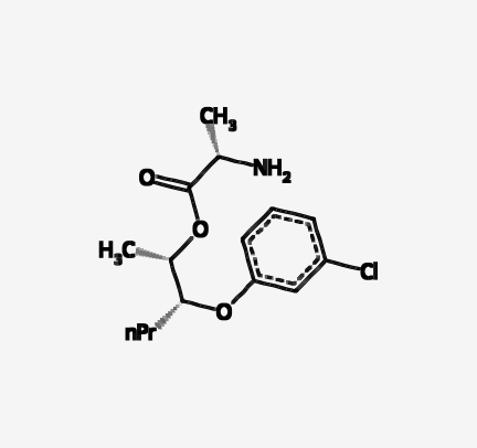 CCC[C@@H](Oc1cccc(Cl)c1)[C@H](C)OC(=O)[C@H](C)N